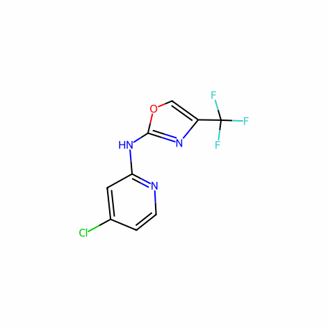 FC(F)(F)c1coc(Nc2cc(Cl)ccn2)n1